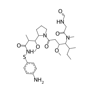 CCC(C)C(C(CC(=O)N1CCCC1C(OC)C(C)C(=O)NSc1ccc(N)cc1)OC)N(C)C(=O)CNC=O